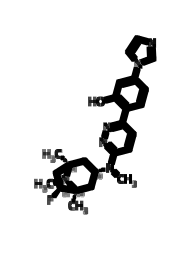 CN(c1ccc(-c2ccc(-n3ccnc3)cc2O)nn1)[C@H]1C[C@]2(C)C[C@H](F)[C@](C)(C1)N2C